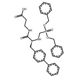 O=C(O)CCNC(=O)[C@H](Cc1ccc(-c2ccccc2)cc1)NCP(=O)(OCc1ccccc1)OCc1ccccc1